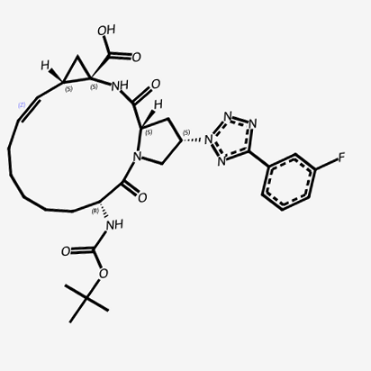 CC(C)(C)OC(=O)N[C@@H]1CCCCC/C=C\[C@@H]2C[C@]2(C(=O)O)NC(=O)[C@@H]2C[C@H](n3nnc(-c4cccc(F)c4)n3)CN2C1=O